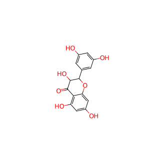 O=C1c2c(O)cc(O)cc2OC(c2cc(O)cc(O)c2)C1O